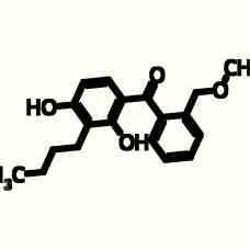 CCCCc1c(O)ccc(C(=O)c2ccccc2COC)c1O